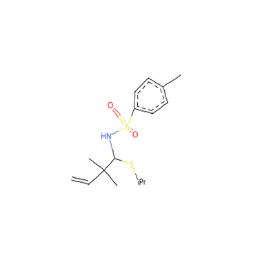 C=CC(C)(C)C(NS(=O)(=O)c1ccc(C)cc1)SC(C)C